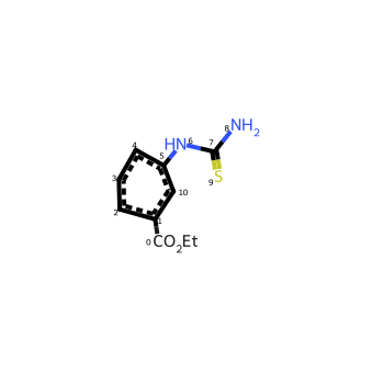 CCOC(=O)c1cccc(NC(N)=S)c1